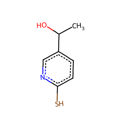 CC(O)c1ccc(S)nc1